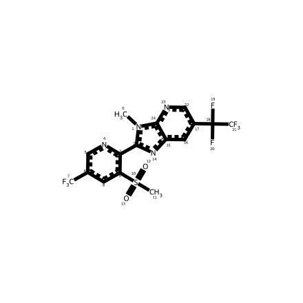 Cn1c(-c2ncc(C(F)(F)F)cc2S(C)(=O)=O)nc2cc(C(F)(F)C(F)(F)F)cnc21